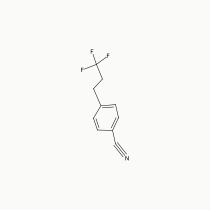 N#Cc1ccc(CCC(F)(F)F)cc1